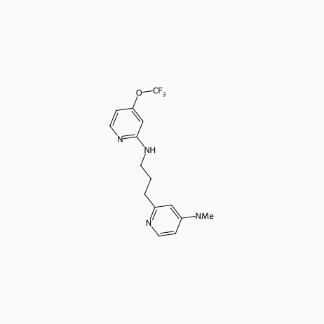 CNc1ccnc(CCCNc2cc(OC(F)(F)F)ccn2)c1